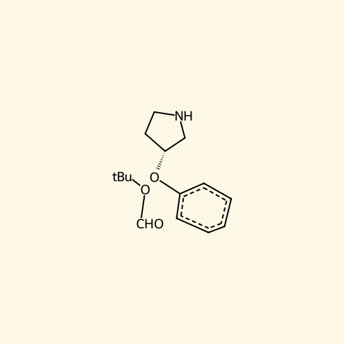 CC(C)(C)OC=O.c1ccc(O[C@@H]2CCNC2)cc1